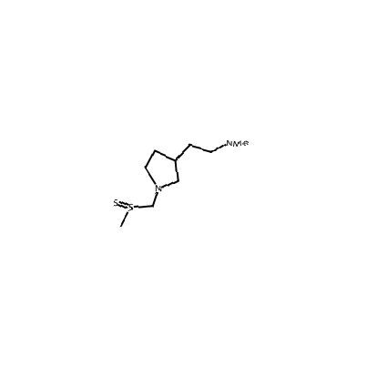 CNCCC1CCN(CS(C)=S)C1